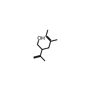 C=C(C)C(CO)CC(C)=CC